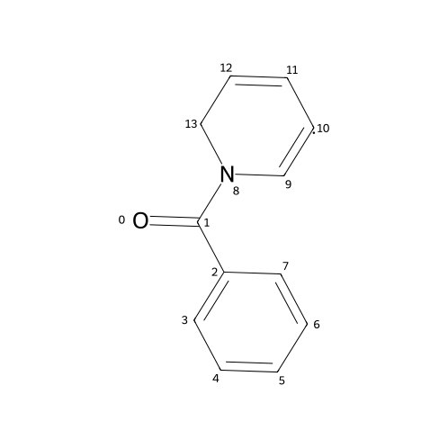 O=C(c1ccccc1)N1C=[C]C=CC1